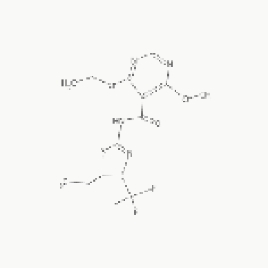 CCOc1ncnc(OC)c1C(=O)Nc1nc(C(F)(F)F)c(CC)s1